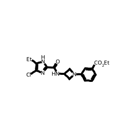 CCOC(=O)c1cccc(N2CC(NC(=O)c3nc(Cl)c(CC)[nH]3)C2)c1